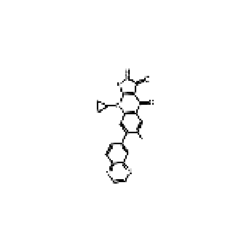 O=c1[nH]sc2c1c(=O)c1cc(F)c(-c3ccc4nccnc4c3)cc1n2C1CC1